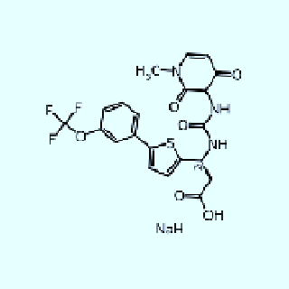 CN1C=CC(=O)C(NC(=O)N[C@@H](CC(=O)O)c2ccc(-c3cccc(OC(F)(F)F)c3)s2)C1=O.[NaH]